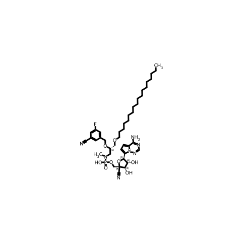 CCCCCCCCCCCCCCCCCCOC[C@H](CN(C)P(=O)(O)OC[C@@]1(C#N)O[C@@H](c2ccc3c(N)ncnn23)[C@H](O)[C@@H]1O)OCc1cc(F)cc(C#N)c1